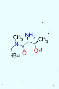 CC[C@@H](C)CN(C)C(=O)[C@@H](N)[C@@H](C)O